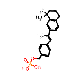 CC(=Cc1ccc(COP(=O)(O)O)cc1)c1ccc2c(c1)C(C)(C)CCC2